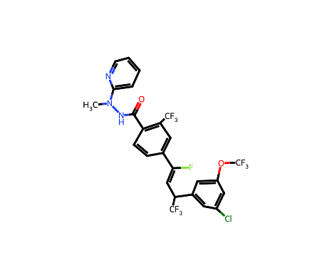 CN(NC(=O)c1ccc(/C(F)=C/C(c2cc(Cl)cc(OC(F)(F)F)c2)C(F)(F)F)cc1C(F)(F)F)c1ccccn1